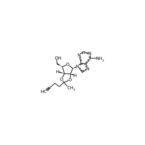 C#CCCC1(C)O[C@@H]2[C@H](O1)[C@@H](CO)O[C@H]2n1cnc2c(N)ncnc21